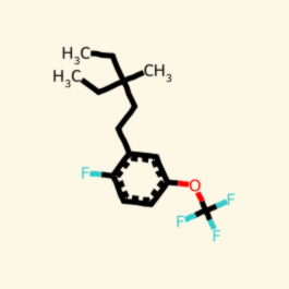 CCC(C)(CC)CCc1cc(OC(F)(F)F)ccc1F